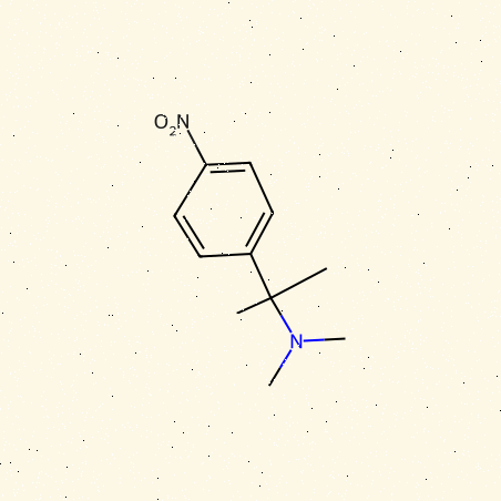 CN(C)C(C)(C)c1ccc([N+](=O)[O-])cc1